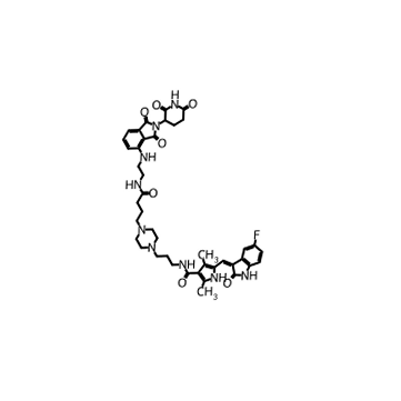 Cc1[nH]c(/C=C2\C(=O)Nc3ccc(F)cc32)c(C)c1C(=O)NCCCN1CCN(CCCC(=O)NCCNc2cccc3c2C(=O)N(C2CCC(=O)NC2=O)C3=O)CC1